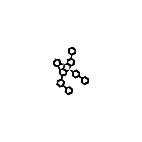 c1ccc(-c2ccc(N3c4ccc(-c5ccccc5)cc4B4c5ccccc5-c5cc(-c6cccc(-c7ccccc7)c6)cc3c54)cc2)cc1